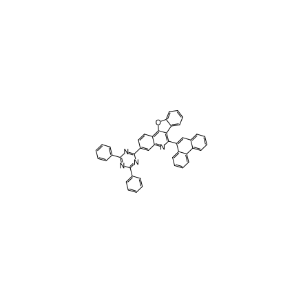 c1ccc(-c2nc(-c3ccccc3)nc(-c3ccc4c(c3)nc(-c3cc5ccccc5c5ccccc35)c3c5ccccc5oc43)n2)cc1